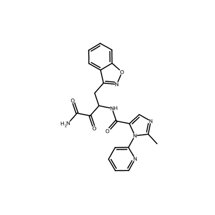 Cc1ncc(C(=O)NC(Cc2noc3ccccc23)C(=O)C(N)=O)n1-c1ccccn1